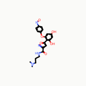 CN(C)CCCNC(=O)c1cc(-c2c(O)cc(O)cc2Oc2ccc(N=O)cc2)on1